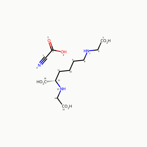 N#CC(=O)O.O=C(O)CNCCCC[C@H](NCC(=O)O)C(=O)O